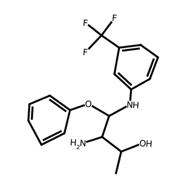 CC(O)C(N)C(Nc1cccc(C(F)(F)F)c1)Oc1ccccc1